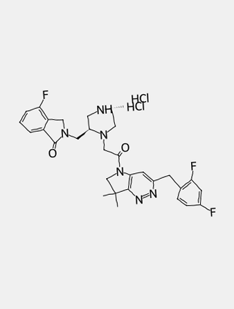 C[C@@H]1CN(CC(=O)N2CC(C)(C)c3nnc(Cc4ccc(F)cc4F)cc32)[C@@H](CN2Cc3c(F)cccc3C2=O)CN1.Cl.Cl